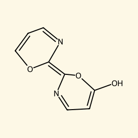 OC1=CC=NC(=C2N=CC=CO2)O1